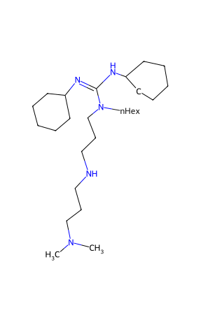 CCCCCCN(CCCNCCCN(C)C)C(=NC1CCCCC1)NC1CCCCC1